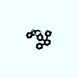 c1ccc(-c2cccc(-c3ccccc3)c2-c2ccc3c(c2)SCc2nc4ccccc4n2-3)cc1